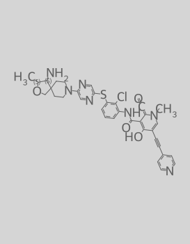 C[C@@H]1OCC2(CCN(c3cnc(Sc4cccc(NC(=O)C5=C(O)C(C#Cc6ccncc6)=CN(C)C5=C=O)c4Cl)cn3)CC2)[C@@H]1N